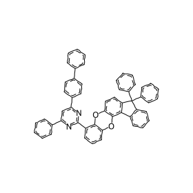 c1ccc(-c2ccc(-c3cc(-c4ccccc4)nc(-c4cccc5c4Oc4ccc6c(c4O5)-c4ccccc4C6(c4ccccc4)c4ccccc4)n3)cc2)cc1